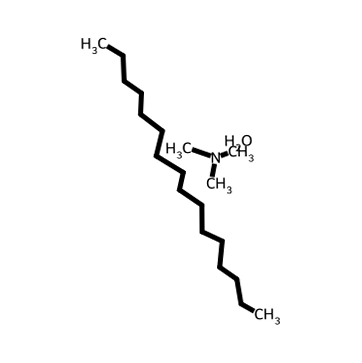 CCCCCCCCCCCCCCCC.CN(C)C.O